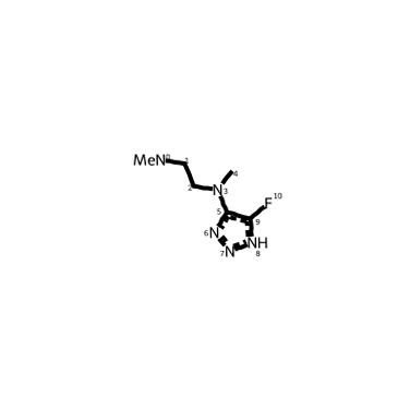 CNCCN(C)c1nn[nH]c1F